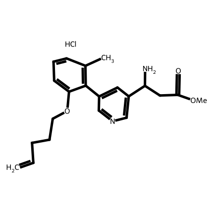 C=CCCCOc1cccc(C)c1-c1cncc(C(N)CC(=O)OC)c1.Cl